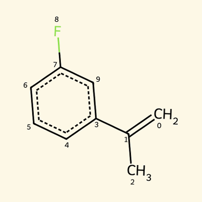 C=C(C)c1cccc(F)c1